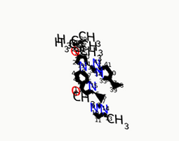 COc1cc([C@H]2C[C@@H]2c2nccc(C)n2)nc2cc(N3C[C@@H](O[Si](C)(C)C(C)(C)C)C[C@@H]3c3cn4cc(C5CC5)ccc4n3)ccc12